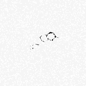 NS(=O)(=O)NC[C@H]1COc2ccc(Cl)cc2O1